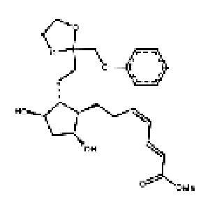 COC(=O)C=C/C=C\CC[C@@H]1[C@@H](CCC2(COc3ccccc3)OCCO2)[C@H](O)C[C@@H]1O